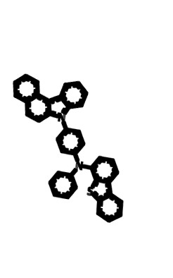 c1ccc(N(c2ccc(-n3c4ccccc4c4c5ccccc5ccc43)cc2)c2cccc3c2sc2ccccc23)cc1